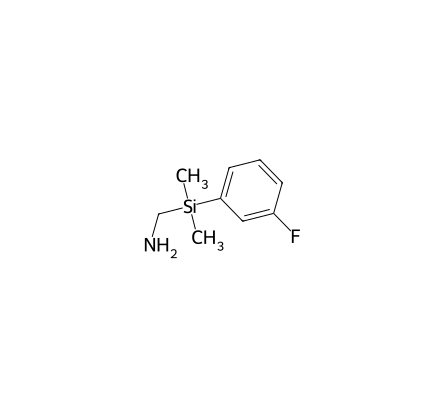 C[Si](C)(CN)c1cccc(F)c1